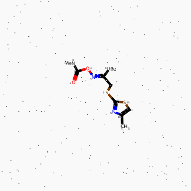 CNC(=O)ON=C(CSc1nc(C)cs1)C(C)(C)C